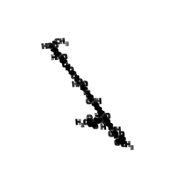 CCOP(O)CCCCNC(=O)CCOCCOCCOCCONC(=O)CCSSCCC(=O)NCCCCCCNC(=O)C(CCCCNC(=O)CCN1C(=O)CC(C)C1=O)NC(=O)CCN1C(=O)CC(C)C1=O